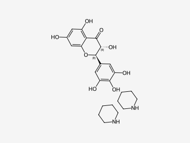 C1CCNCC1.C1CCNCC1.O=C1c2c(O)cc(O)cc2O[C@H](c2cc(O)c(O)c(O)c2)[C@H]1O